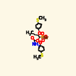 Br.CCCC(OC(N)=O)P(=O)(OOc1ccc(SC)cc1)OOc1ccc(SC)cc1